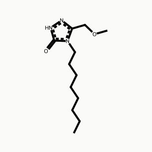 CCCCCCCCn1c(COC)n[nH]c1=O